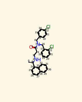 C[C@@H](NCCC(=O)N(Cc1ccc(Cl)cc1)Cc1ccccc1Cl)c1cccc2ccccc12